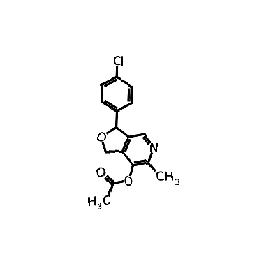 CC(=O)Oc1c(C)ncc2c1COC2c1ccc(Cl)cc1